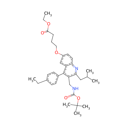 CCOC(=O)CCCOc1ccc2nc(CC(C)C)c(CNC(=O)OC(C)(C)C)c(-c3ccc(CC)cc3)c2c1